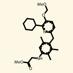 COCOc1ccc(Cc2c(C)cc(NCC(=O)OC)c(C)c2C)nc1C1CCCCC1